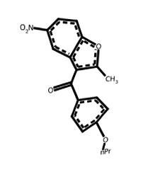 CCCOc1ccc(C(=O)c2c(C)oc3ccc([N+](=O)[O-])cc23)cc1